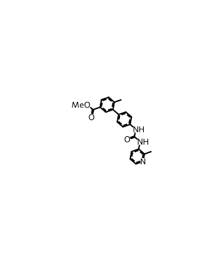 COC(=O)c1ccc(C)c(-c2ccc(NC(=O)Nc3cccnc3C)cc2)c1